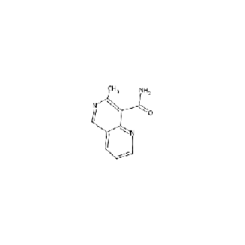 Cc1ncc2cccnc2c1C(N)=O